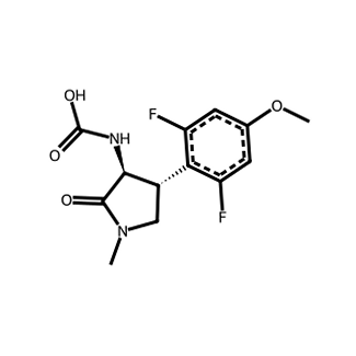 COc1cc(F)c([C@@H]2CN(C)C(=O)[C@H]2NC(=O)O)c(F)c1